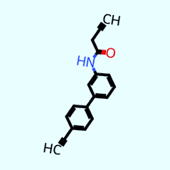 C#CCC(=O)Nc1cccc(-c2ccc(C#C)cc2)c1